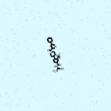 N=C(N)NC(=O)c1ccc(C2CCN(C(=O)c3cncc(-c4ccccc4)c3)CC2)c(C(F)(F)F)c1